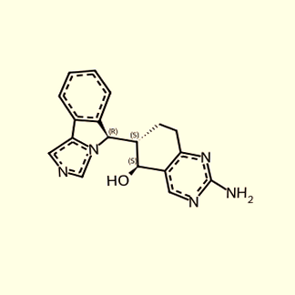 Nc1ncc2c(n1)CC[C@@H]([C@@H]1c3ccccc3-c3cncn31)[C@@H]2O